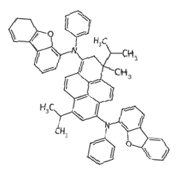 CC(C)c1cc(N(c2ccccc2)c2cccc3c2oc2ccccc23)c2ccc3c4c(ccc1c24)=C(N(c1ccccc1)c1cccc2c4c(oc12)CCC=C4)CC3(C)C(C)C